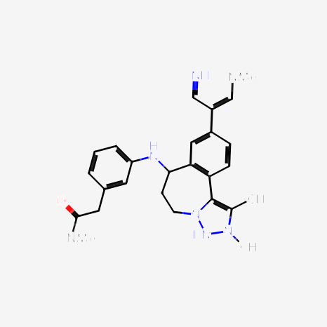 CN/C=C(\C=N)c1ccc2c(c1)C(Nc1cccc(CC(=O)NC)c1)CCN1NN(C)C(C)=C21